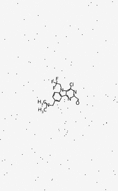 CN(C)Cc1ccc2c(c1)c1nc(C=O)nc(Cl)c1n2CC(F)(F)F